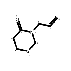 C=CCN1[C]SCCC1=O